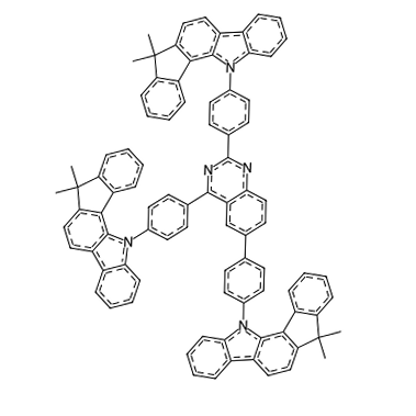 CC1(C)c2ccccc2-c2c1ccc1c3ccccc3n(-c3ccc(-c4ccc5nc(-c6ccc(-n7c8ccccc8c8ccc9c(c87)-c7ccccc7C9(C)C)cc6)nc(-c6ccc(-n7c8ccccc8c8ccc9c(c87)-c7ccccc7C9(C)C)cc6)c5c4)cc3)c21